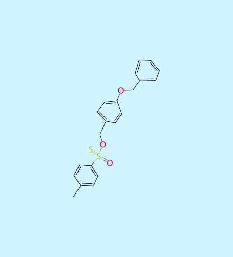 Cc1ccc(S(=O)(=S)OCc2ccc(OCc3ccccc3)cc2)cc1